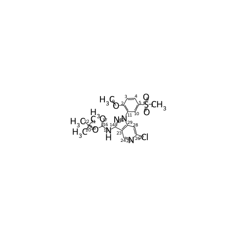 COc1ccc(S(C)(=O)=O)cc1-n1nc(NC(=O)OC(C)(C)C)c2cnc(Cl)cc21